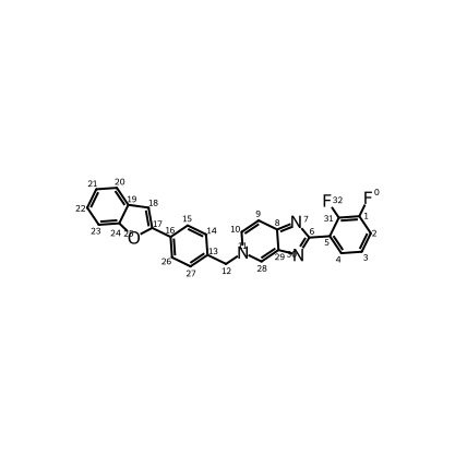 Fc1cccc(-c2nc3ccn(Cc4ccc(-c5cc6ccccc6o5)cc4)cc-3n2)c1F